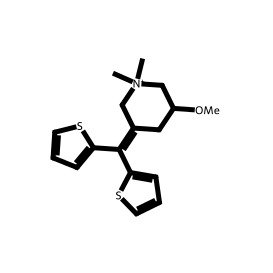 COC1CC(=C(c2cccs2)c2cccs2)C[N+](C)(C)C1